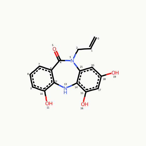 C=CCN1C(=O)c2cccc(O)c2Nc2c(O)cc(O)cc21